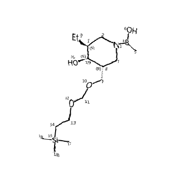 CC[C@H]1CN(B(C)O)C[C@H](COCOCC[Si](C)(C)C)[C@H]1O